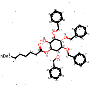 CCCCCCCCCCCCCCCC(=O)O[C@H]1[C@@H](O)[C@@H](OCc2ccccc2)[C@H](OCc2ccccc2)[C@@H](OCc2ccccc2)[C@@H]1OCc1ccccc1